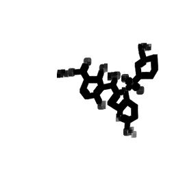 COC(=O)c1ccc(Cl)c(C(O)c2cc3nc(C(F)(F)F)ccc3n2S(=O)(=O)c2cccc(C(C)(C)C)c2)c1Cl